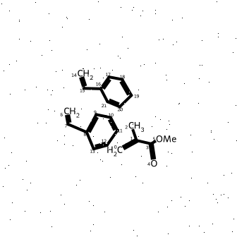 C=C(C)C(=O)OC.C=Cc1ccccc1.C=Cc1ccccc1